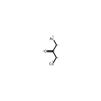 CC(=O)CC(=O)[CH2][Co]